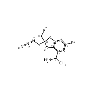 CC(N)c1cc(F)cc2c1OC(CF)(CN=[N+]=[N-])C2